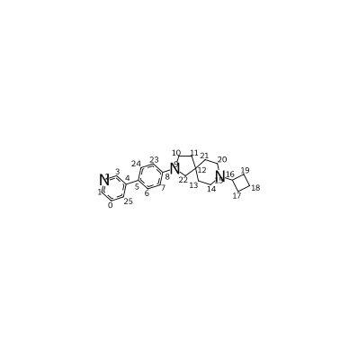 c1cncc(-c2ccc(N3CCC4(CCN(C5CCC5)CC4)C3)cc2)c1